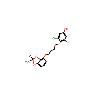 CC1(C)Oc2cccc(OCCCCOc3c(Cl)cc(O)cc3Cl)c2O1